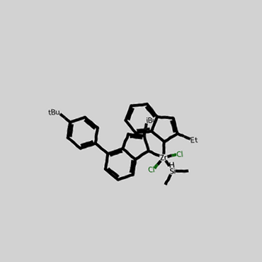 CCC1=Cc2ccccc2[CH]1[Zr]([Cl])([Cl])([CH]1C(C(C)CC)=Cc2c(-c3ccc(C(C)(C)C)cc3)cccc21)[SiH](C)C